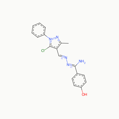 Cc1nn(-c2ccccc2)c(Cl)c1/C=N/N=C(\N)c1ccc(O)cc1